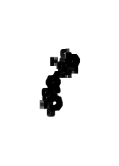 Cc1c(Cl)cccc1NC(=O)NCc1ccc2c(c1)CN([C@H]1CCCC(=O)NC1=O)C2=O